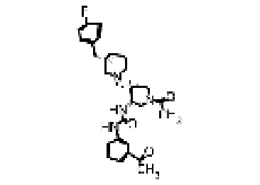 CC(=O)c1cccc(NC(=O)N[C@H]2CN(C(C)=O)CC[C@H]2CN2CCC[C@@H](Cc3ccc(F)cc3)C2)c1